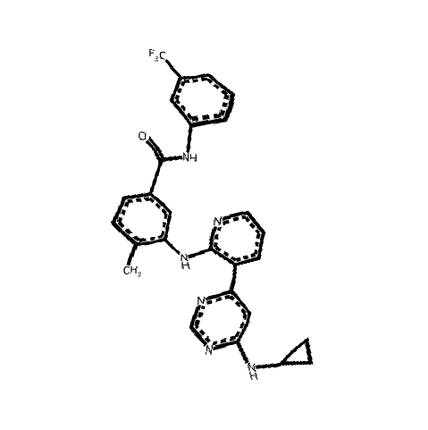 Cc1ccc(C(=O)Nc2cccc(C(F)(F)F)c2)cc1Nc1ncccc1-c1cc(NC2CC2)ncn1